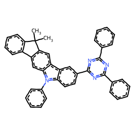 CC1(C)c2ccccc2-c2cc3c(cc21)c1cc(-c2nc(-c4ccccc4)nc(-c4ccccc4)n2)ccc1n3-c1ccccc1